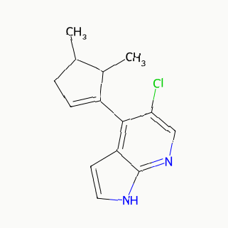 CC1CC=C(c2c(Cl)cnc3[nH]ccc23)C1C